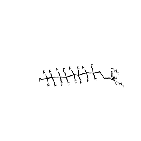 C[SiH](C)CCC(F)(F)C(F)(F)C(F)(F)C(F)(F)C(F)(F)C(F)(F)C(F)(F)C(F)(F)F